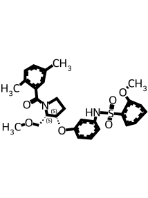 COC[C@H]1[C@@H](Oc2cccc(NS(=O)(=O)c3ccccc3OC)c2)CCN1C(=O)c1cc(C)ccc1C